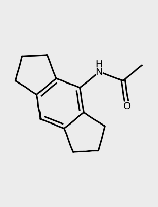 CC(=O)Nc1c2c(cc3c1CCC3)CCC2